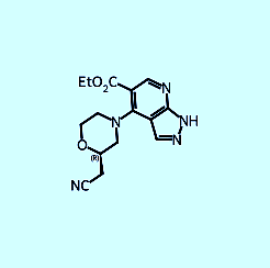 CCOC(=O)c1cnc2[nH]ncc2c1N1CCO[C@H](CC#N)C1